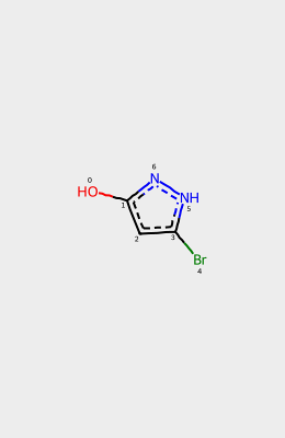 Oc1cc(Br)[nH]n1